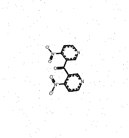 O=C(c1cnccc1[N+](=O)[O-])c1cnccc1[N+](=O)[O-]